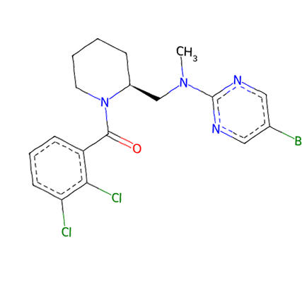 CN(C[C@@H]1CCCCN1C(=O)c1cccc(Cl)c1Cl)c1ncc(Br)cn1